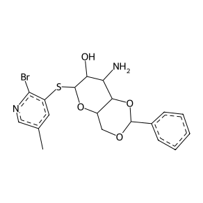 Cc1cnc(Br)c(SC2OC3COC(c4ccccc4)OC3C(N)C2O)c1